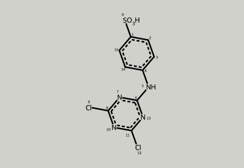 O=S(=O)(O)c1ccc(Nc2nc(Cl)nc(Cl)n2)cc1